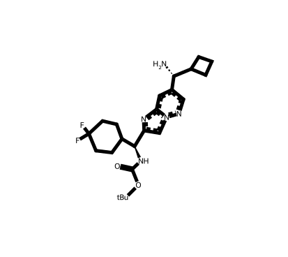 CC(C)(C)OC(=O)N[C@H](c1cn2ncc([C@H](N)C3CCC3)cc2n1)C1CCC(F)(F)CC1